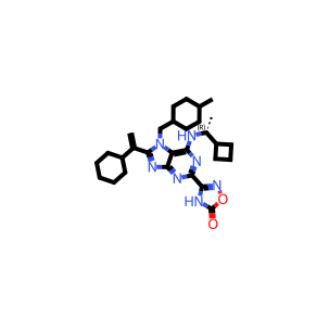 C=C(c1nc2nc(-c3noc(=O)[nH]3)nc(N[C@H](C)C3CCC3)c2n1CC1CCC(C)CC1)C1CCCCC1